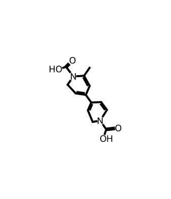 CC1=CC(C2=CCN(C(=O)O)C=C2)=CCN1C(=O)O